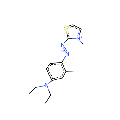 CCN(CC)c1ccc(/N=N/c2scc[n+]2C)c(C)c1